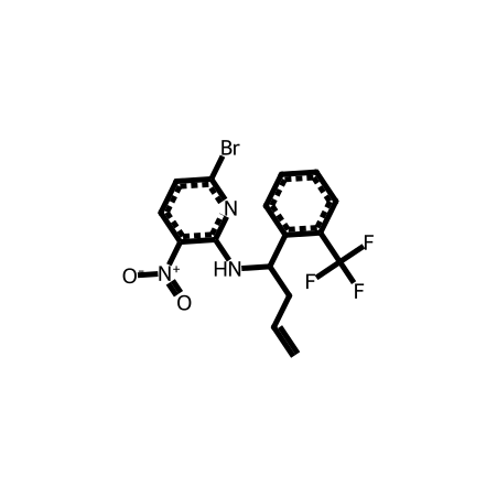 C=CCC(Nc1nc(Br)ccc1[N+](=O)[O-])c1ccccc1C(F)(F)F